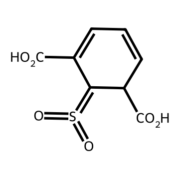 O=C(O)C1=CC=CC(C(=O)O)C1=S(=O)=O